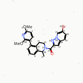 COc1ccc(-c2cccc3c2CCN(C(=O)c2cc4ccc(Br)cn4n2)C3C)c(OC)n1